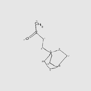 CC(=O)CCC12CCC(CC1)C2